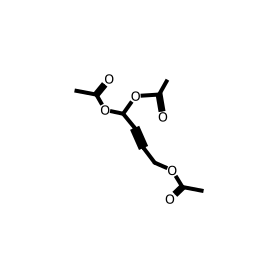 CC(=O)OCC#CC(OC(C)=O)OC(C)=O